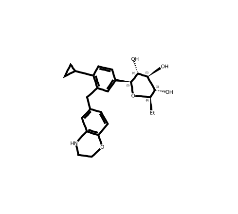 CC[C@H]1O[C@@H](c2ccc(C3CC3)c(Cc3ccc4c(c3)NCCO4)c2)[C@H](O)[C@@H](O)[C@@H]1O